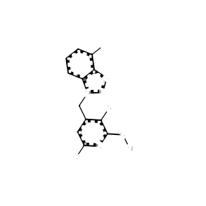 NNc1nc(N)cc(Cn2nnc3c(Cl)cccc32)c1N